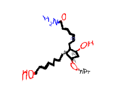 CCCO[C@@H]1C[C@H](O)C(C/C=C\CCCC(N)=O)[C@H]1CCCCC=CCCO